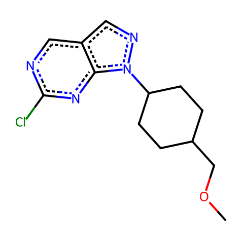 COCC1CCC(n2ncc3cnc(Cl)nc32)CC1